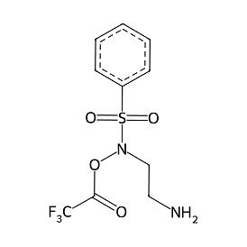 NCCN(OC(=O)C(F)(F)F)S(=O)(=O)c1ccccc1